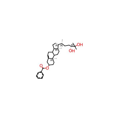 C[C@H](CC[C@@H](O)C(C)(C)O)[C@H]1CCC2C3CC=C4CC(OC(=O)c5ccccc5)CC[C@]4(C)C3CC[C@@]21C